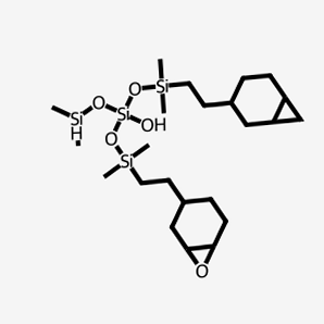 C[SiH](C)O[Si](O)(O[Si](C)(C)CCC1CCC2CC2C1)O[Si](C)(C)CCC1CCC2OC2C1